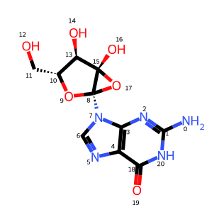 Nc1nc2c(ncn2[C@]23O[C@H](CO)[C@@H](O)[C@]2(O)O3)c(=O)[nH]1